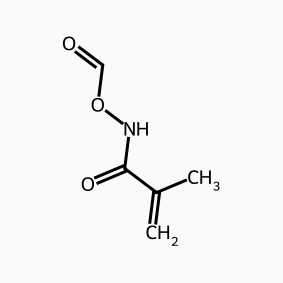 C=C(C)C(=O)NOC=O